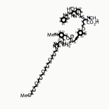 C=N/C(C(=O)O)=C(/CCCOc1ccc(C#CCN(C)C(=O)OCc2ccc(NC)cc2CN(C)Cc2cn(CCOCCOCCOCCOCCOCCOCCOCCOC)nn2)cc1F)SCN1CCCc2c1nnc(Nc1nc3ccccc3s1)c2C